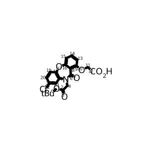 CC(C)(C)OC(=O)CN1C(=O)c2c(OCC(=O)O)cccc2Oc2ccc(Cl)cc21